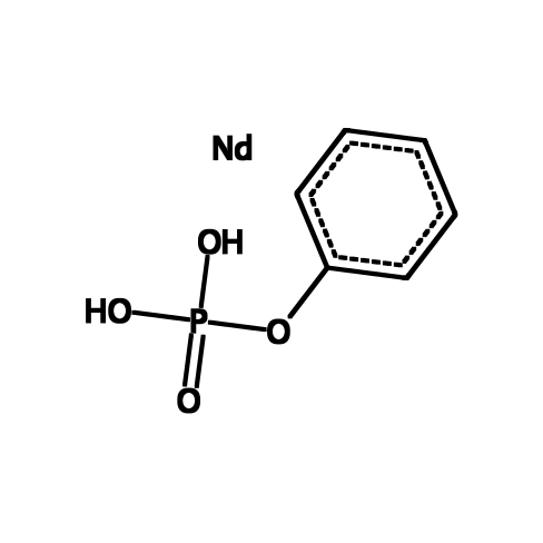 O=P(O)(O)Oc1ccccc1.[Nd]